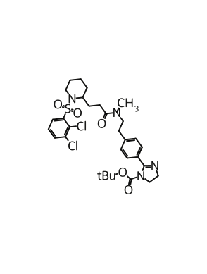 CN(CCc1ccc(C2=NCCN2C(=O)OC(C)(C)C)cc1)C(=O)CCC1CCCCN1S(=O)(=O)c1cccc(Cl)c1Cl